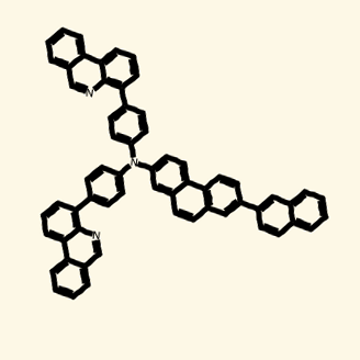 c1ccc2cc(-c3ccc4c(ccc5cc(N(c6ccc(-c7cccc8c7ncc7ccccc78)cc6)c6ccc(-c7cccc8c7ncc7ccccc78)cc6)ccc54)c3)ccc2c1